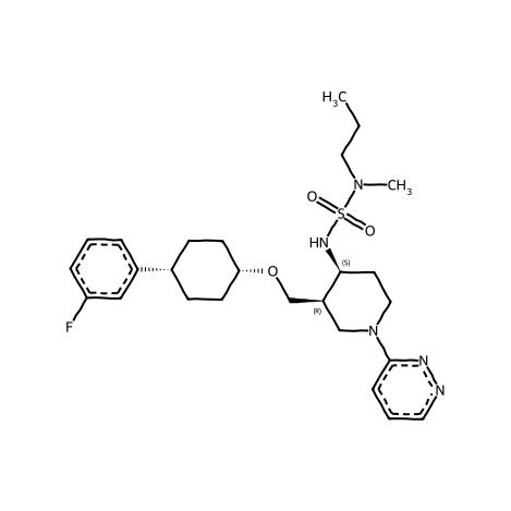 CCCN(C)S(=O)(=O)N[C@H]1CCN(c2cccnn2)C[C@H]1CO[C@H]1CC[C@@H](c2cccc(F)c2)CC1